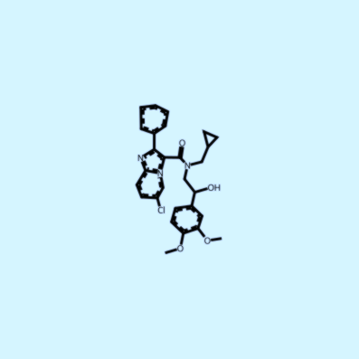 COc1ccc(C(O)CN(CC2CC2)C(=O)c2c(-c3ccccc3)nc3ccc(Cl)cn23)cc1OC